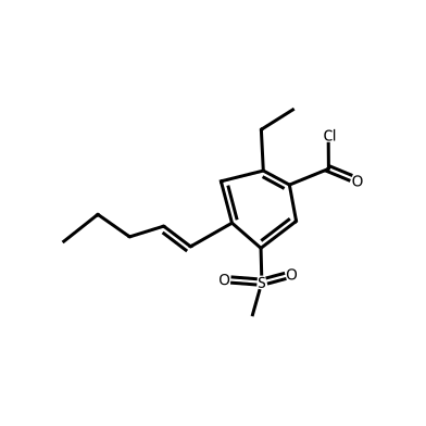 CCCC=Cc1cc(CC)c(C(=O)Cl)cc1S(C)(=O)=O